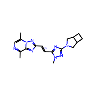 Cc1ncc(C)n2nc(/C=C/c3nc(N4CC5CCC5C4)nn3C)nc12